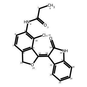 CCC(=O)Nc1ccc2c(c1Cl)C(=C1C(=O)Nc3ccccc31)OC2